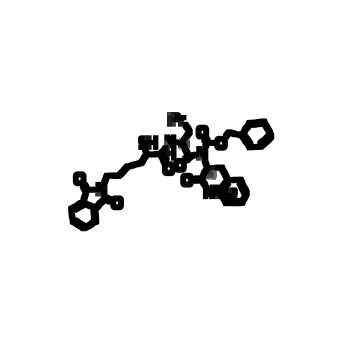 CNC(=O)[C@H](Cc1ccccc1)N(C(=O)OCc1ccccc1)C(=O)[C@H](CC(C)C)NC(=O)C(S)CCCCN1C(=O)c2ccccc2C1=O